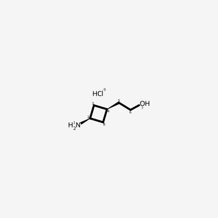 Cl.N[C@H]1C[C@@H](CCO)C1